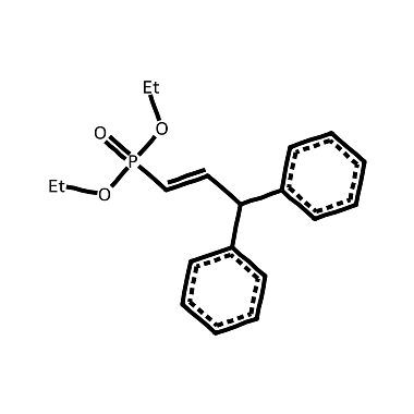 CCOP(=O)(/C=C/C(c1ccccc1)c1ccccc1)OCC